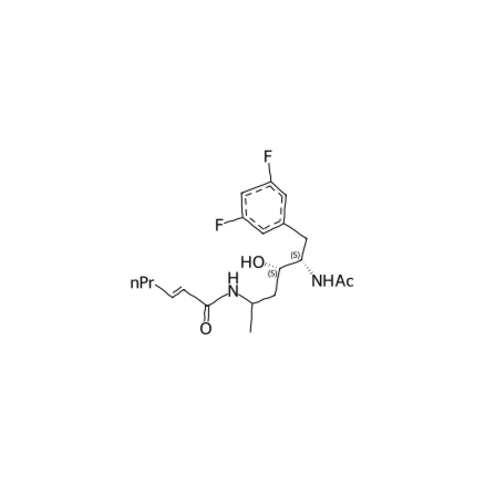 CCCC=CC(=O)NC(C)C[C@H](O)[C@H](Cc1cc(F)cc(F)c1)NC(C)=O